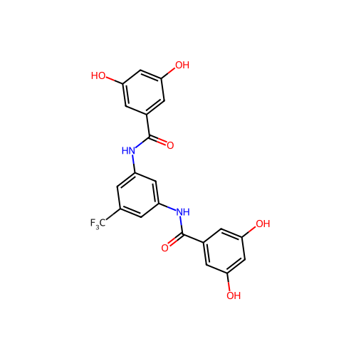 O=C(Nc1cc(NC(=O)c2cc(O)cc(O)c2)cc(C(F)(F)F)c1)c1cc(O)cc(O)c1